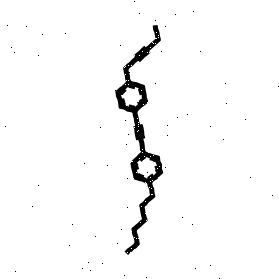 CCC#CCc1ccc(C#Cc2ccc(CCCCCC)cc2)cc1